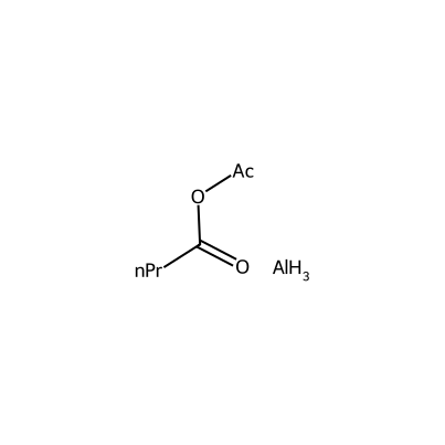 CCCC(=O)OC(C)=O.[AlH3]